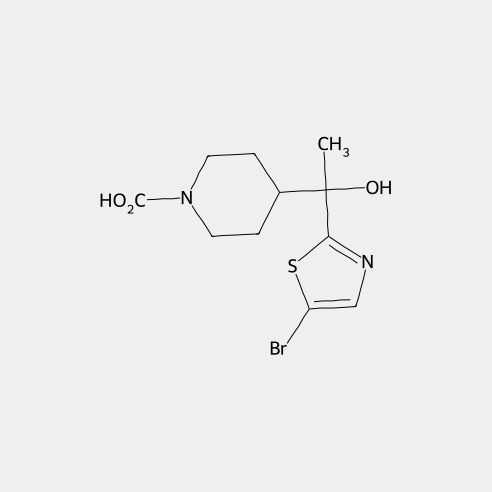 CC(O)(c1ncc(Br)s1)C1CCN(C(=O)O)CC1